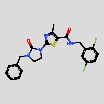 Cc1nc(N2CCN(Cc3ccccc3)C2=O)sc1C(=O)NCc1cc(F)ccc1F